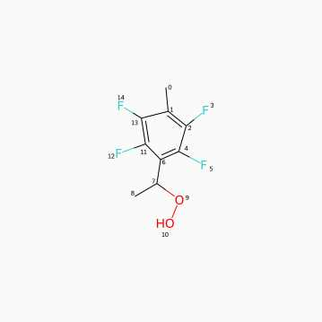 Cc1c(F)c(F)c(C(C)OO)c(F)c1F